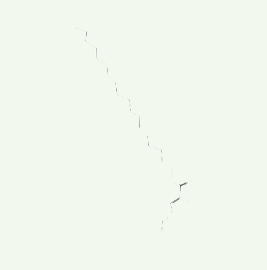 CCCCCCCCCCCCCCCCCCOC(=O)C(C)=COCCO